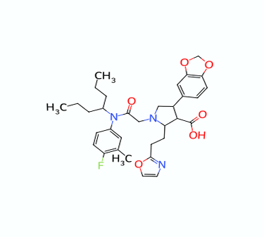 CCCC(CCC)N(C(=O)CN1CC(c2ccc3c(c2)OCO3)C(C(=O)O)C1CCc1ncco1)c1ccc(F)c(C)c1